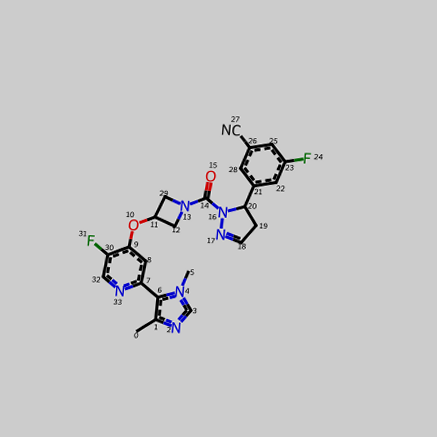 Cc1ncn(C)c1-c1cc(OC2CN(C(=O)N3N=CCC3c3cc(F)cc(C#N)c3)C2)c(F)cn1